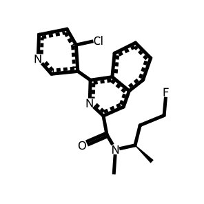 C[C@H](CCF)N(C)C(=O)c1cc2ccccc2c(-c2cnccc2Cl)n1